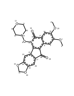 COc1cc2c3c(n(ON4CCOCC4)c(=O)c2cc1OC)-c1cc2c(cc1C3=O)OCO2